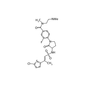 CNCCN(C)C(=O)c1ccc(N2CCC(NS(=O)(=O)/C=C(\C)c3ccc(Cl)s3)C2=O)c(F)c1